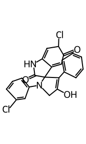 O=C1C=C2C(=CC1Cl)NC(=O)C21C(c2ccccc2)=C(O)CN1c1cccc(Cl)c1